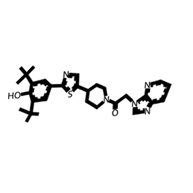 CC(C)(C)c1cc(-c2ncc(C3CCN(C(=O)Cn4cnc5cccnc54)CC3)s2)cc(C(C)(C)C)c1O